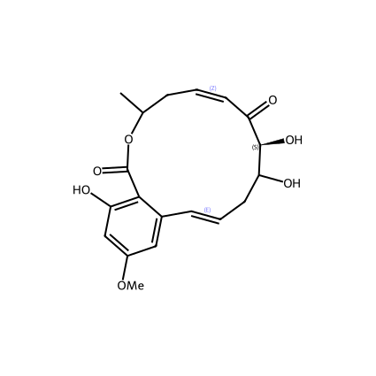 COc1cc(O)c2c(c1)/C=C/CC(O)[C@H](O)C(=O)/C=C\CC(C)OC2=O